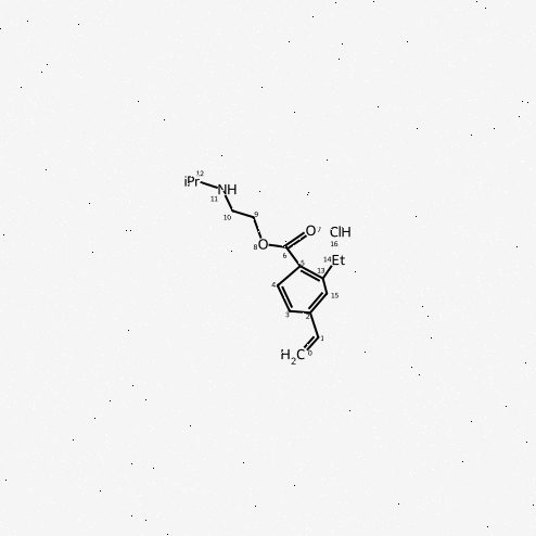 C=Cc1ccc(C(=O)OCCNC(C)C)c(CC)c1.Cl